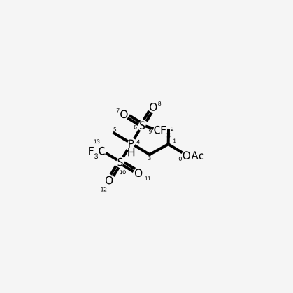 CC(=O)OC(C)C[PH](C)(S(=O)(=O)C(F)(F)F)S(=O)(=O)C(F)(F)F